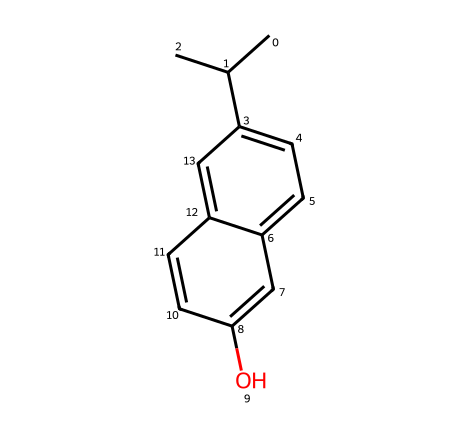 CC(C)c1ccc2cc(O)ccc2c1